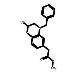 COC(=O)Cc1ccc2c(c1)N(Cc1ccccc1)CC(N)S2